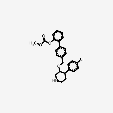 COC(=O)Oc1ccccc1-c1ccc(COC2CNCCC2c2ccc(Cl)cc2)cc1